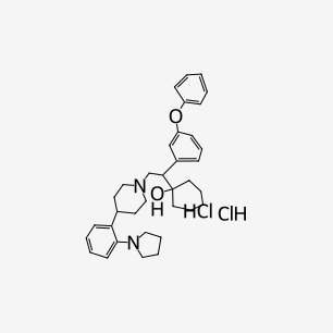 Cl.Cl.OC1(C(CN2CCC(c3ccccc3N3CCCC3)CC2)c2cccc(Oc3ccccc3)c2)CCCCC1